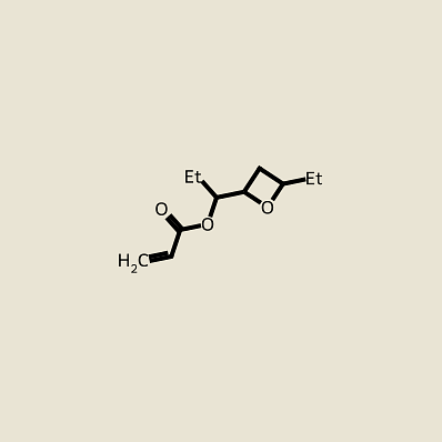 C=CC(=O)OC(CC)C1CC(CC)O1